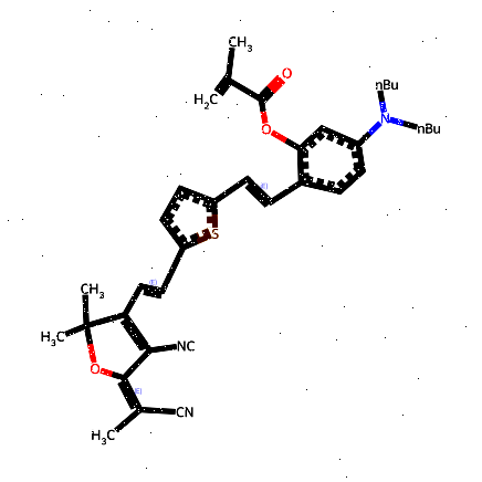 [C-]#[N+]C1=C(/C=C/c2ccc(/C=C/c3ccc(N(CCCC)CCCC)cc3OC(=O)C(=C)C)s2)C(C)(C)O/C1=C(\C)C#N